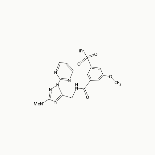 CNc1nc(CNC(=O)c2cc(OC(F)(F)F)cc(S(=O)(=O)C(C)C)c2)n(-c2ncccn2)n1